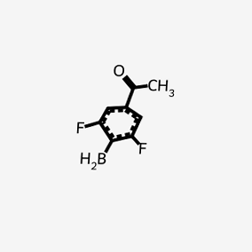 Bc1c(F)cc(C(C)=O)cc1F